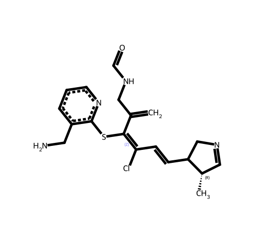 C=C(CNC=O)/C(Sc1ncccc1CN)=C(/Cl)C=CC1CN=C[C@@H]1C